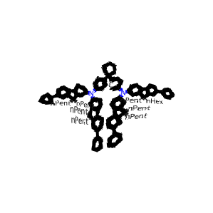 CCCCCC[C@@]1(CCCCC)c2cc(-c3ccccc3)ccc2-c2ccc(N(c3ccc(C4(c5ccc(N(c6ccc7c(c6)C(CCCCC)(CCCCC)c6cc(-c8ccccc8)ccc6-7)c6ccc7c(c6)C(CCCCC)(CCCCC)c6cc(-c8ccccc8)ccc6-7)cc5)CCCCC4)cc3)c3ccc4c(c3)C(CCCCC)(CCCCC)c3cc(-c5ccccc5)ccc3-4)cc21